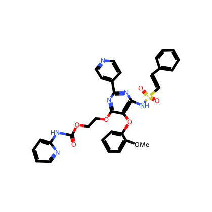 COc1ccccc1Oc1c(NS(=O)(=O)C=Cc2ccccc2)nc(-c2ccncc2)nc1OCCOC(=O)Nc1ccccn1